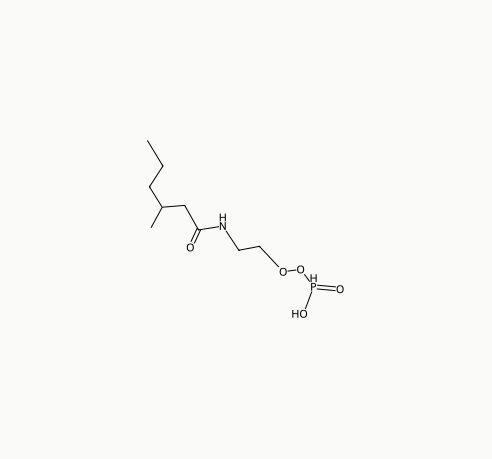 CCCC(C)CC(=O)NCCOO[PH](=O)O